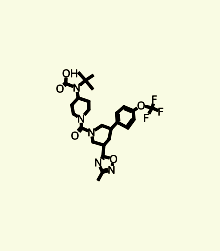 Cc1noc(C2CC(c3ccc(OC(F)(F)F)cc3)CN(C(=O)N3CCC(N(C(=O)O)C(C)(C)C)CC3)C2)n1